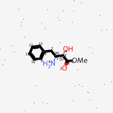 COC(=O)[C@@H](O)[C@H](N)Cc1ccccc1